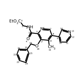 CCOC(=O)CNC(=O)c1ncc(-c2cccnc2)c(C)c1OCc1ccccc1